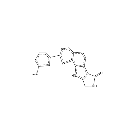 COc1cccc(-c2cc3c(ccc4c5c([nH]c43)CNC5=O)cn2)c1